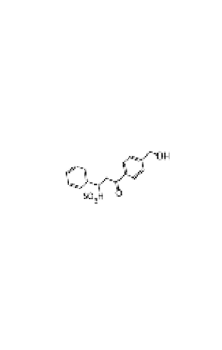 O=C(CC(c1ccccc1)S(=O)(=O)O)c1ccc(CO)cc1